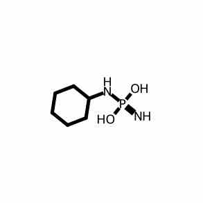 N=P(O)(O)NC1CCCCC1